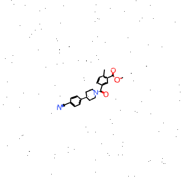 COC(=O)c1cc(C(=O)N2CCC(c3ccc(C#N)cc3)CC2)ccc1C